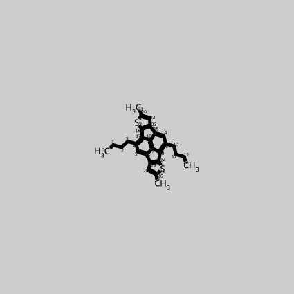 CCCCc1cc2c3c(c(CCCC)cc4c3c1-c1sc(C)cc1-4)-c1sc(C)cc1-2